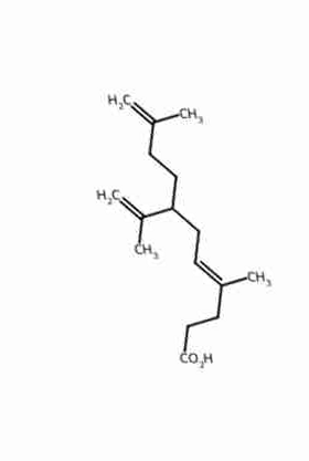 C=C(C)CCC(CC=C(C)CCC(=O)O)C(=C)C